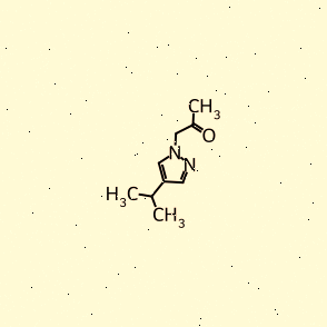 CC(=O)Cn1cc(C(C)C)cn1